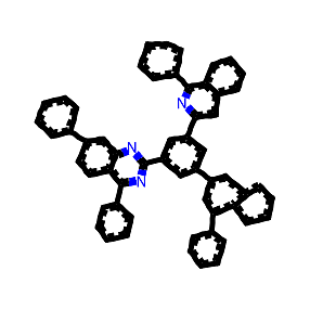 c1ccc(-c2ccc3c(-c4ccccc4)nc(-c4cc(-c5cc(-c6ccccc6)c6ccccc6c5)cc(-c5cc6ccccc6c(-c6ccccc6)n5)c4)nc3c2)cc1